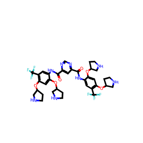 O=C(Nc1cc(C(F)(F)F)c(OC2CCNC2)cc1OC1CCNC1)c1cc(C(=O)Nc2cc(C(F)(F)F)c(OC3CCNC3)cc2OC2CCNC2)ncn1